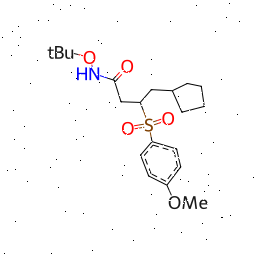 COc1ccc(S(=O)(=O)C(CC(=O)NOC(C)(C)C)CC2CCCC2)cc1